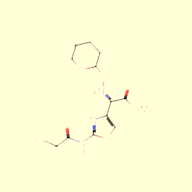 COC(=O)/C(=N\OC1CCCCO1)c1coc(NC(=O)CCl)n1